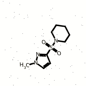 Cn1ccc(S(=O)(=O)N2CCCCC2)n1